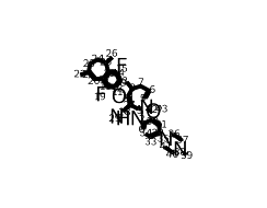 C=C(NC1=N/C=C/CC(C)/C(Oc2cc(F)c3c(c2F)C=C(C)CCC3C)=C\1C#N)/C(=C\C(=C/C)N1CCN(C)CC1)OC